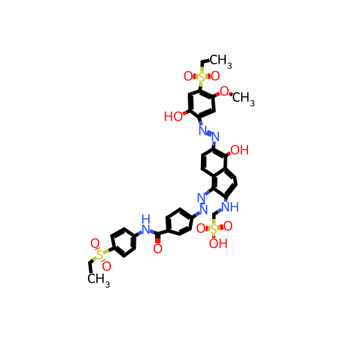 CCS(=O)(=O)c1ccc(NC(=O)c2ccc(/N=N/c3c(NCS(=O)(=O)O)ccc4c(O)c(/N=N/c5cc(OC)c(S(=O)(=O)CC)cc5O)ccc34)cc2)cc1